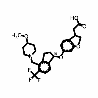 COC1CCN(Cc2c(C(F)(F)F)ccc3c2CC[C@H]3Oc2ccc3c(c2)OCC3CC(=O)O)CC1